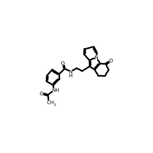 CC(=O)Nc1cccc(C(=O)NCCc2c3c(n4ccccc24)C(=O)CCC3)c1